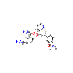 C=C(COc1cc(-c2ccc(CN(C)C(C)=O)cc2)cc2ncccc12)/C(=C\C=C/N)C(N)=O